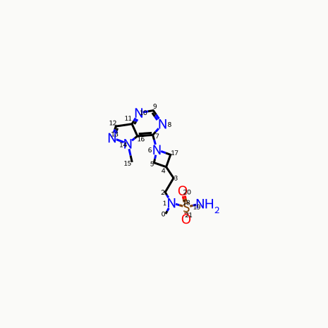 CN(CCC1CN(c2ncnc3cnn(C)c23)C1)S(N)(=O)=O